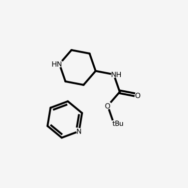 CC(C)(C)OC(=O)NC1CCNCC1.c1ccncc1